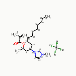 C=C(C)C(=O)OC(C)CC(CCCCCCCCCC)[n+]1ccn(C)c1.F[B-](F)(F)F